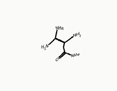 CNC(=O)C(N)C(N)NC